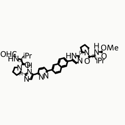 COC(=O)N[C@H](C(=O)N1CCC[C@H]1c1ncc(-c2ccc3cc(-c4ccc(-c5cnc([C@@H]6CCCN6C(=O)[C@@H](NC=O)C(C)C)[nH]5)nn4)ccc3c2)[nH]1)C(C)C